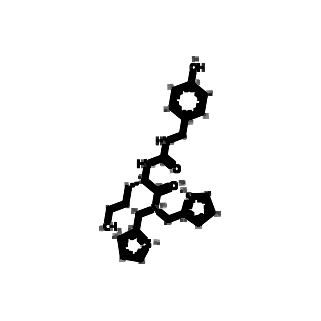 CCCC[C@H](NC(=O)NCc1ccc(O)cc1)C(=O)N(Cc1cccs1)Cc1cccs1